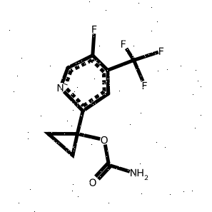 NC(=O)OC1(c2cc(C(F)(F)F)c(F)cn2)CC1